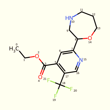 CCOC(=O)c1cc(C2CNCCCO2)ncc1C(F)(F)F